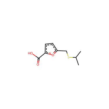 CC(C)SCc1ccc(C(=O)O)o1